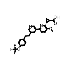 COc1ccc(-c2cncc(CCc3ccc(OC(F)(F)F)cc3)c2)nc1[C@@H]1C[C@H]1C(=O)O